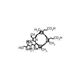 C=CC1=C(C)c2nc1cc1[nH]c(cc3nc(cc4[nH]c(c(C=C)c4C)c2C(=O)[C@H](CO)NC(=O)[C@@H](N)CO)C(C)=C3CCC(=O)O)c(CCC(=O)O)c1C